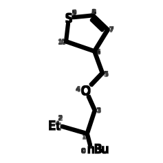 CCCCC(CC)COCC1C=CSC1